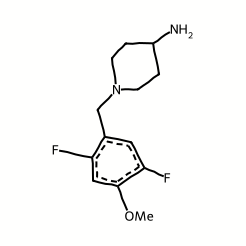 COc1cc(F)c(CN2CCC(N)CC2)cc1F